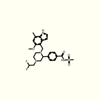 COc1cc(C)c2[nH]ccc2c1CN1CCN(CC(F)F)CC1c1ccc(C(=O)NS(C)(=O)=O)cc1